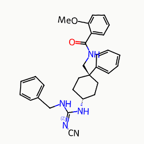 COc1ccccc1C(=O)NC[C@]1(c2ccccc2)CC[C@@H](N/C(=N\C#N)NCc2ccccc2)CC1